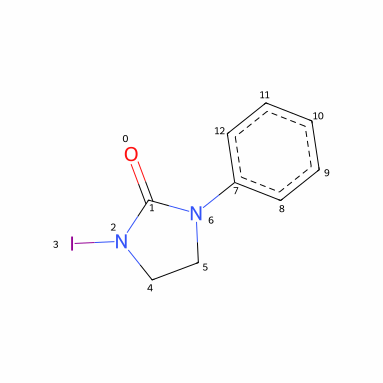 O=C1N(I)CCN1c1ccccc1